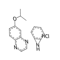 CC(C)Oc1ccc2nccnc2c1.Cl.c1ccc2c(c1)N2